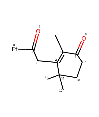 CCC(=O)CC1=C(C)C(=O)CCC1(C)C